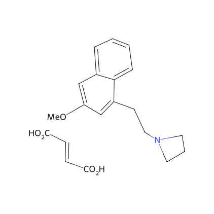 COc1cc(CCN2CCC2)c2ccccc2c1.O=C(O)/C=C/C(=O)O